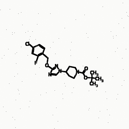 CC(C)(C)OC(=O)N1CCC(n2cnc(OCc3ccc(Cl)cc3F)n2)CC1